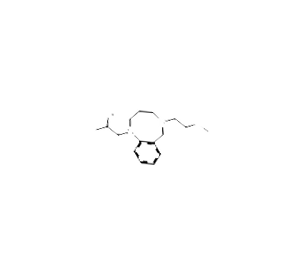 COCCN1CCCN(CC(C)O)c2ccccc2C1